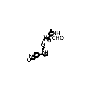 Cc1cc(C(=O)N(C)CCOCCn2nccc2-c2ccc3c(c2)=CC(=O)N=3)c(C=O)[nH]1